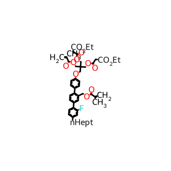 C=C(C)C(=O)OCc1cc(-c2ccc(CCCCCCC)cc2F)ccc1-c1ccc(OCC(COC(=O)CC(=O)OCC)(COC(=O)CC(=O)OCC)COC(=O)C(=C)C)cc1